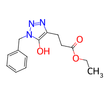 CCOC(=O)CCc1nnn(Cc2ccccc2)c1O